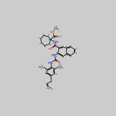 C=CCc1cc(C)c(NC(=O)Nc2cc3ccccc3cc2C(=O)NC2(C(=O)OC)CCCCCC2)c(C)c1